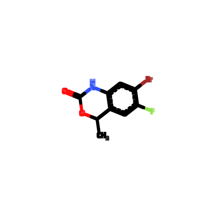 CC1OC(=O)Nc2cc(Br)c(F)cc21